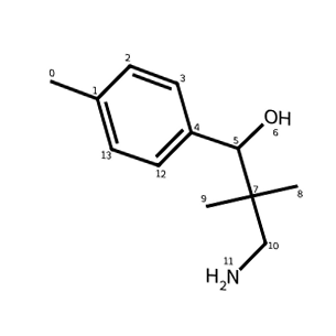 Cc1ccc(C(O)C(C)(C)CN)cc1